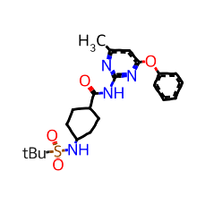 Cc1cc(Oc2ccccc2)nc(NC(=O)C2CCC(NS(=O)(=O)C(C)(C)C)CC2)n1